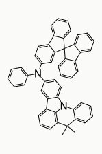 CC1(C)c2ccccc2-n2c3ccc(N(c4ccccc4)c4ccc5c(c4)C4(c6ccccc6-c6ccccc64)c4ccccc4-5)cc3c3cccc1c32